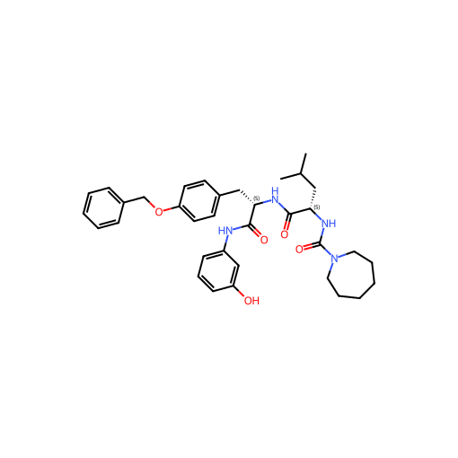 CC(C)C[C@H](NC(=O)N1CCCCCC1)C(=O)N[C@@H](Cc1ccc(OCc2ccccc2)cc1)C(=O)Nc1cccc(O)c1